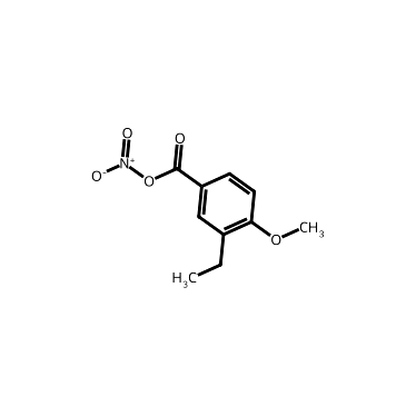 CCc1cc(C(=O)O[N+](=O)[O-])ccc1OC